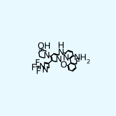 COc1cccc(F)c1-c1nc(Nc2cc(N3CCC[C@H](O)C3)c(-c3cnn(C(F)(F)F)c3)cn2)ccc1N